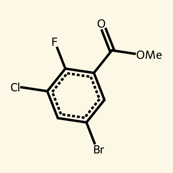 COC(=O)c1cc(Br)cc(Cl)c1F